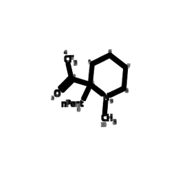 CCCCCC1(C(=O)C(F)(F)F)CCCCN1C